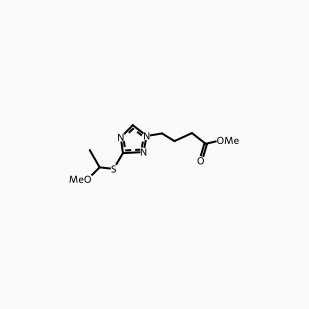 COC(=O)CCCn1cnc(SC(C)OC)n1